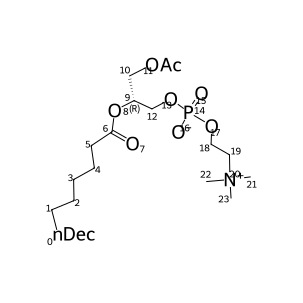 CCCCCCCCCCCCCCCC(=O)O[C@H](COC(C)=O)COP(=O)([O-])OCC[N+](C)(C)C